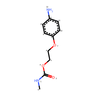 CNC(=O)OCCOc1ccc(N)cc1